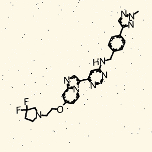 Cn1ncc(-c2ccc(CNc3cc(-c4cnc5cc(OCCN6CCC(F)(F)C6)ccn45)ncn3)cc2)n1